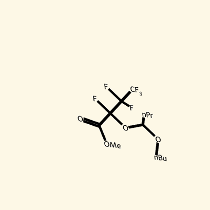 CCCCOC(CCC)OC(F)(C(=O)OC)C(F)(F)C(F)(F)F